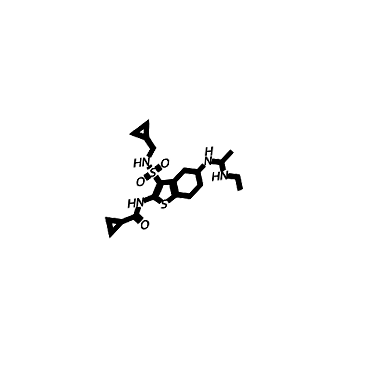 CCNC(C)NC1CCc2sc(NC(=O)C3CC3)c(S(=O)(=O)NCC3CC3)c2C1